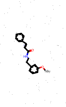 CCCCOc1cccc(CCNC(=O)/C=C/c2ccccc2)c1